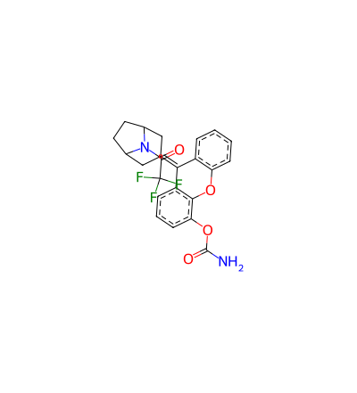 NC(=O)Oc1cccc2c1Oc1ccccc1C2=C1CC2CCC(C1)N2C(=O)C(F)(F)F